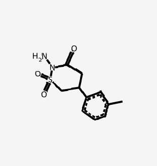 Cc1cccc(C2CC(=O)N(N)S(=O)(=O)C2)c1